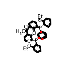 CCOc1ccccc1[P@](c1ccccc1)c1cccc2c1Oc1c([P@@](c3ccccc3)c3ccccc3OCC)cccc1C2(C)C